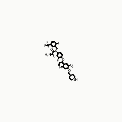 COc1cc2c(Oc3ccc(N(Cc4cc(C(F)(F)F)ccc4F)C(=O)C(N)=O)cc3F)ccnc2cc1OCC1CCNCC1